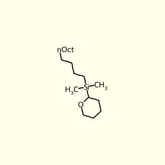 CCCCCCCCCCCC[Si](C)(C)C1CCCCO1